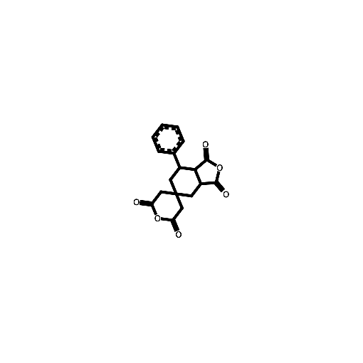 O=C1CC2(CC(=O)O1)CC1C(=O)OC(=O)C1C(c1ccccc1)C2